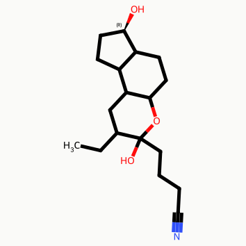 CCC1CC2C(CCC3C2CC[C@H]3O)OC1(O)CCCC#N